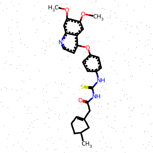 COc1cc2nccc(Oc3ccc(NC(=S)NC(=O)CC4=CCCC(C)C4)cc3)c2cc1OC